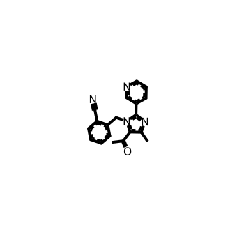 CC(=O)c1c(C)nc(-c2cccnc2)n1Cc1ccccc1C#N